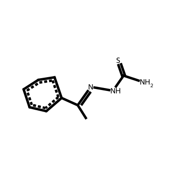 CC(=NNC(N)=S)c1ccccc1